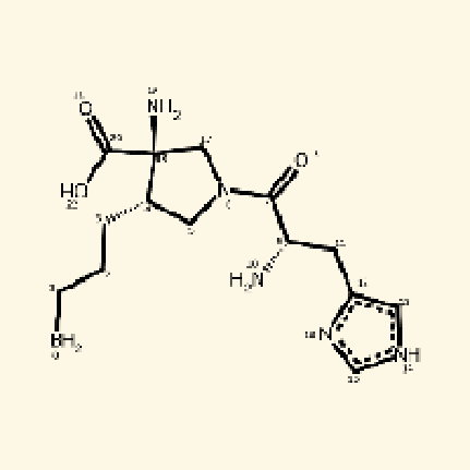 BCCC[C@H]1CN(C(=O)[C@@H](N)Cc2c[nH]cn2)C[C@@]1(N)C(=O)O